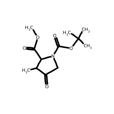 COC(=O)C1C(C)C(=O)CN1C(=O)OC(C)(C)C